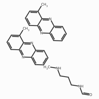 CNCCCNC=O.Cc1cccc2nc3ccccc3nc12.Cc1cccc2nc3ccccc3nc12